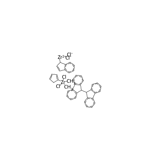 [CH3][Zr]([CH3])([Cl])([Cl])[C]1=CC=CC1.[Cl-].[Cl-].[Zr+2][CH]1C=Cc2ccccc21.c1ccc2c(c1)-c1ccccc1C2C1c2ccccc2-c2ccccc21